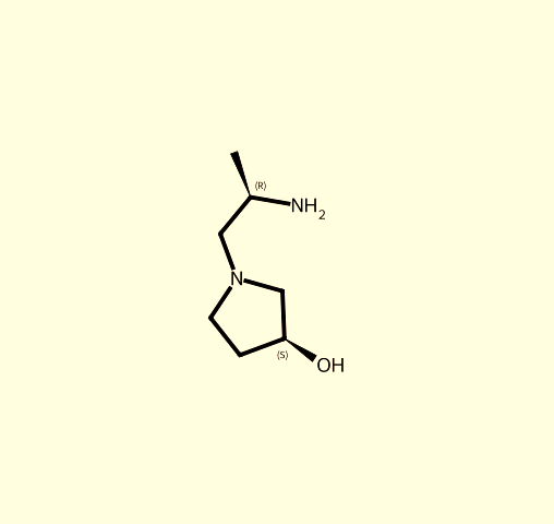 C[C@@H](N)CN1CC[C@H](O)C1